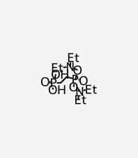 CCN(CC)OP(=O)(CCP(=O)(O)O)ON(CC)CC